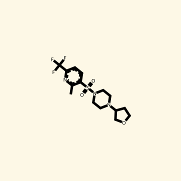 Cc1nc(C(F)(F)F)ccc1S(=O)(=O)N1CCN(C2CCOC2)CC1